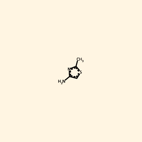 Cc1nc(N)cs1